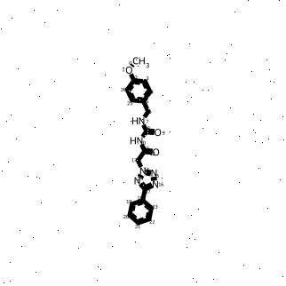 COc1ccc(CNC(=O)NC(=O)Cn2nnc(-c3ccccc3)n2)cc1